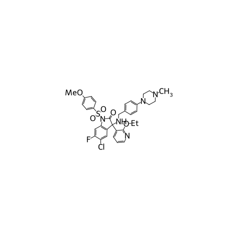 CCOc1ncccc1C1(NCc2ccc(N3CCN(C)CC3)cc2)C(=O)N(S(=O)(=O)c2ccc(OC)cc2)c2cc(F)c(Cl)cc21